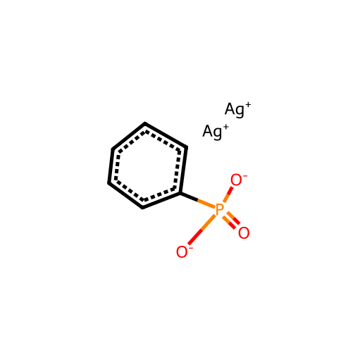 O=P([O-])([O-])c1ccccc1.[Ag+].[Ag+]